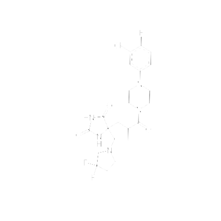 CC(CC1(CN2CCC(F)(F)C2)NC(=O)NC1=O)C(=O)N1CCN(c2ccc(F)c(Cl)c2)[C@@H](C)C1